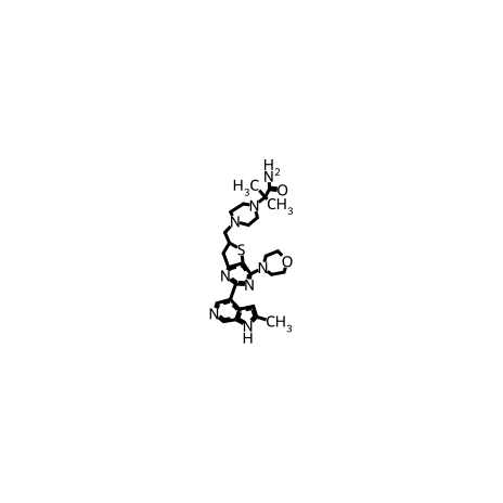 Cc1cc2c(-c3nc4c(c(N5CCOCC5)n3)SC(CN3CCN(C(C)(C)C(N)=O)CC3)C4)cncc2[nH]1